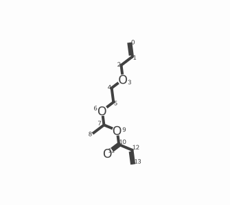 C=CCOCCOC(C)OC(=O)C=C